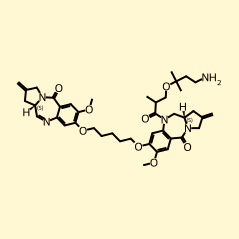 C=C1C[C@H]2CN(C(=O)C(C)COC(C)(C)CCN)c3cc(OCCCCCOc4cc5c(cc4OC)C(=O)N4CC(=C)C[C@H]4C=N5)c(OC)cc3C(=O)N2C1